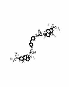 CC(C)C1=CC2=CCC3C(C)(C(=O)OCC(O)COc4ccc(Cc5ccc(OCC(O)COC(=O)C6(C)CCCC7(C)C8CCC(C(C)C)=CC8=CCC67)cc5)cc4)CCCC3(C)C2CC1